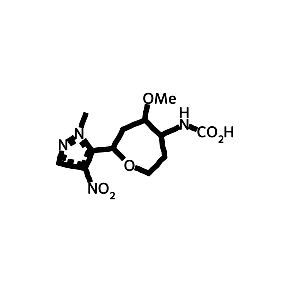 COC1CC(c2c([N+](=O)[O-])cnn2C)OCCC1NC(=O)O